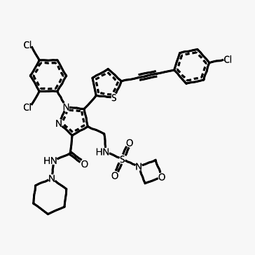 O=C(NN1CCCCC1)c1nn(-c2ccc(Cl)cc2Cl)c(-c2ccc(C#Cc3ccc(Cl)cc3)s2)c1CNS(=O)(=O)N1COC1